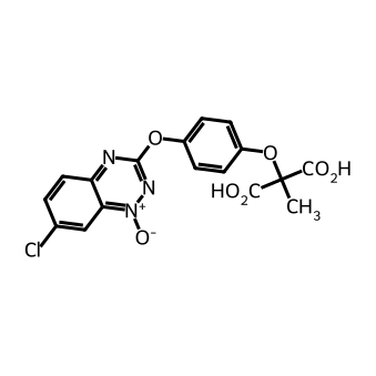 CC(Oc1ccc(Oc2nc3ccc(Cl)cc3[n+]([O-])n2)cc1)(C(=O)O)C(=O)O